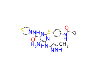 Cc1cc(Nc2nc(Sc3ccc(NC(=O)C4CC4)cc3)nc(C(=O)NN3CCSCC3)c2N)n[nH]1